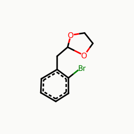 Brc1ccccc1CC1OCCO1